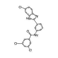 O=C(Nc1cccc(-c2nc3ccc(Cl)cc3[nH]2)c1)c1cc(Cl)cc(Cl)c1